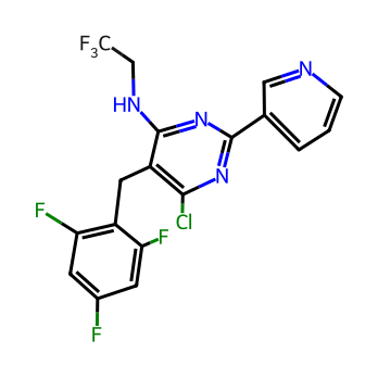 Fc1cc(F)c(Cc2c(Cl)nc(-c3cccnc3)nc2NCC(F)(F)F)c(F)c1